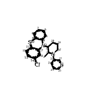 CC1C(N2c3ccccc3Sc3ccc(Cl)cc32)CCCN1c1cccnc1